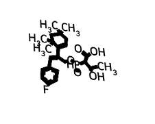 CC(O)C(C(=O)O)[PH](=O)OCC(=Cc1ccc(F)cc1)C1=CCC(C)(C)CC1(C)C